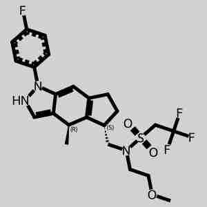 COCCN(C[C@H]1CCC2=C1[C@@H](C)C1=CNN(c3ccc(F)cc3)C1=C2)S(=O)(=O)CC(F)(F)F